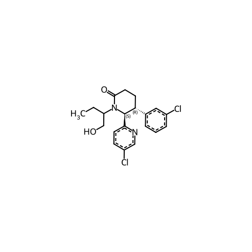 CCC(CO)N1C(=O)CC[C@H](c2cccc(Cl)c2)[C@H]1c1ccc(Cl)cn1